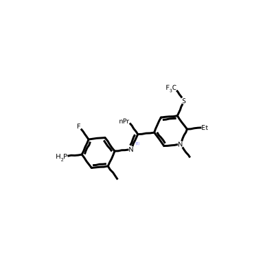 CCC/C(=N\c1cc(F)c(P)cc1C)C1=CN(C)C(CC)C(SC(F)(F)F)=C1